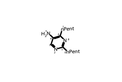 CCCCCc1ncc(N)c(CCCCC)n1